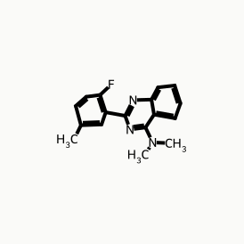 Cc1ccc(F)c(-c2nc(N(C)C)c3ccccc3n2)c1